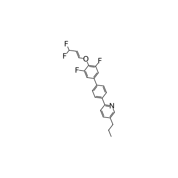 CCCc1ccc(-c2ccc(-c3cc(F)c(O/C=C/C(F)F)c(F)c3)cc2)nc1